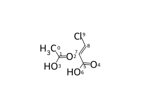 CC(=O)O.O=C(O)C=CCl